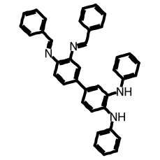 C(=Nc1ccc(-c2ccc(Nc3ccccc3)c(Nc3ccccc3)c2)cc1N=Cc1ccccc1)c1ccccc1